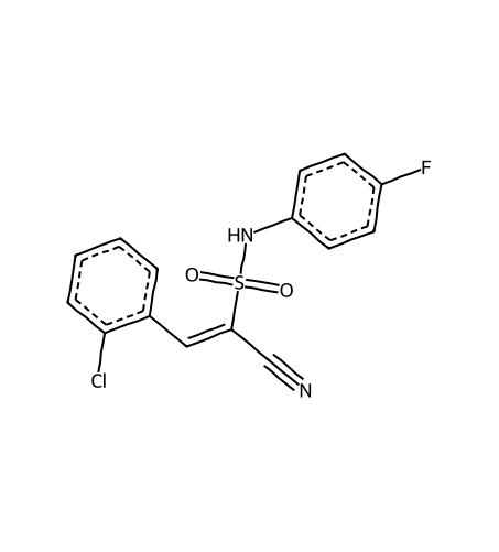 N#C/C(=C/c1ccccc1Cl)S(=O)(=O)Nc1ccc(F)cc1